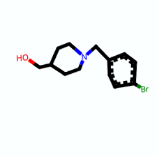 OCC1CCN(Cc2ccc(Br)cc2)CC1